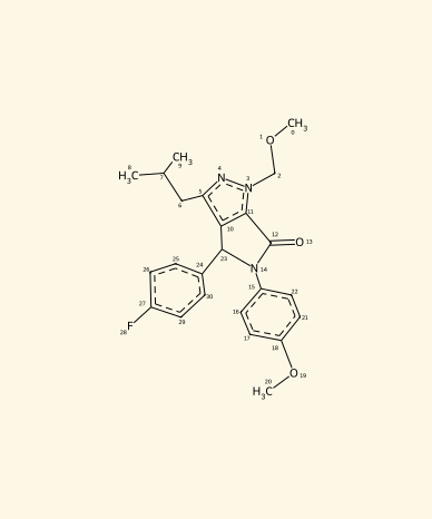 COCn1nc(CC(C)C)c2c1C(=O)N(c1ccc(OC)cc1)C2c1ccc(F)cc1